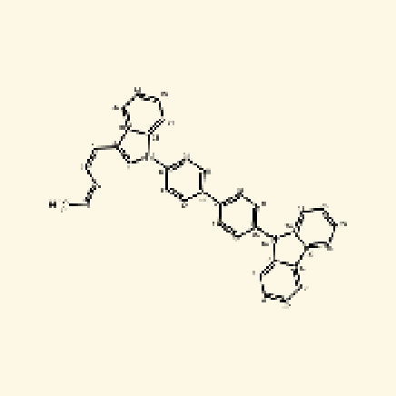 C/C=C\C=C/c1cn(-c2ccc(-c3ccc(-n4c5ccccc5c5ccccc54)cc3)cc2)c2ccccc12